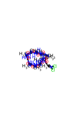 CN(C)CCCNC(=O)c1nc(NC(=O)c2nc(NC(=O)c3cc(NC(=O)c4nc(NC(=O)CCCNC(=O)c5cc(NC(=O)c6nc(NC(=O)c7cc(NC(=O)c8cc(NC(=O)CCNC(=O)CCCc9ccc(N(CCCl)CCCl)cc9)cn8C)cn7C)cn6C)cn5C)cn4C)cn3C)cn2C)cn1C